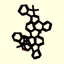 CC1(C)c2ccccc2-c2ccc(-c3ccccc3N(c3ccc4c(c3)C3(c5ccccc5-4)C4CC5CC(C4)CC3C5)c3ccccc3-c3cccc4c3-c3ccccc3C4(C)C)cc21